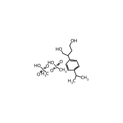 CC(C)c1ccc(C(CO)CCO)cc1.CS(=O)(=O)O.CS(=O)(=O)O